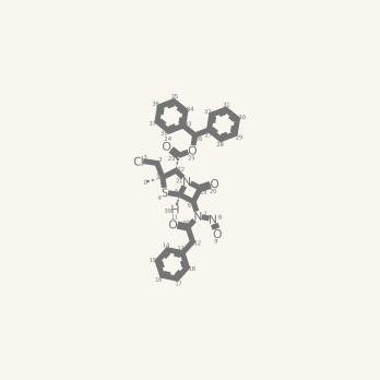 C[C@@]1(CCl)S[C@@H]2C(N(N=O)C(=O)Cc3ccccc3)C(=O)N2[C@H]1C(=O)OC(c1ccccc1)c1ccccc1